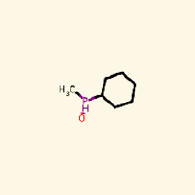 C[PH](=O)C1CCCCC1